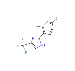 FC(F)(F)c1c[nH]c(-c2ccc(Cl)cc2Cl)n1